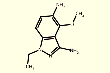 CCn1nc(N)c2c(OC)c(N)ccc21